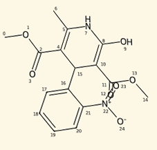 COC(=O)C1=C(C)NC(O)=C(C(=O)OC)C1c1ccccc1[N+](=O)[O-]